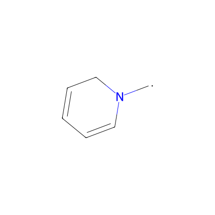 [CH2]N1C=CC=CC1